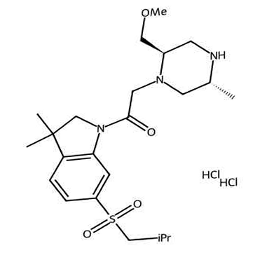 COC[C@H]1CN[C@H](C)CN1CC(=O)N1CC(C)(C)c2ccc(S(=O)(=O)CC(C)C)cc21.Cl.Cl